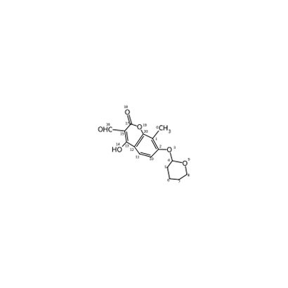 Cc1c(OC2CCCCO2)ccc2c(O)c(C=O)c(=O)oc12